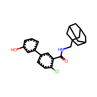 O=C(NCC12CC3CC(CC(C3)C1)C2)c1cc(-c2cccc(O)c2)ccc1Cl